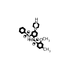 COc1cc(C)ccc1S(=O)(=O)Nc1ccc(N2CCNCC2)cc1NS(=O)(=O)c1ccccc1